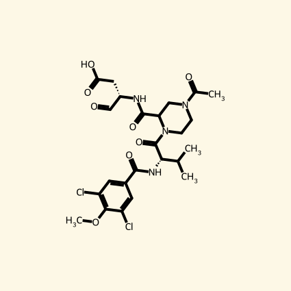 COc1c(Cl)cc(C(=O)N[C@H](C(=O)N2CCN(C(C)=O)CC2C(=O)N[C@H](C=O)CC(=O)O)C(C)C)cc1Cl